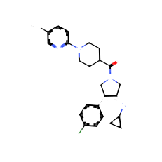 N#Cc1ccc(N2CCC(C(=O)N3C[C@H](NC4CC4)[C@@H](c4ccc(Cl)cc4)C3)CC2)nc1